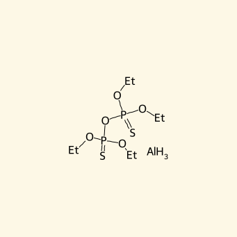 CCOP(=S)(OCC)OP(=S)(OCC)OCC.[AlH3]